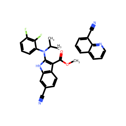 COC(=O)c1c(N(c2cccc(F)c2F)C(C)C)[nH]c2cc(C#N)ccc12.N#Cc1cccc2cccnc12